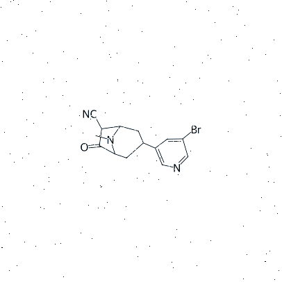 CN1C2CC(c3cncc(Br)c3)CC1C(C#N)C2=O